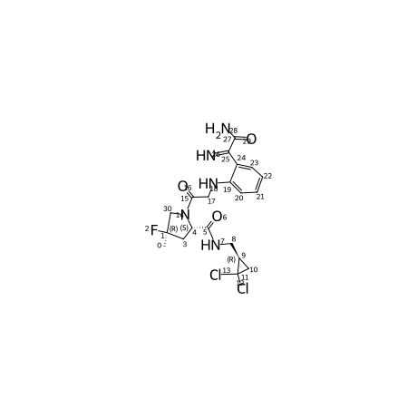 C[C@@]1(F)C[C@@H](C(=O)NC[C@H]2CC2(Cl)Cl)N(C(=O)CNc2ccccc2C(=N)C(N)=O)C1